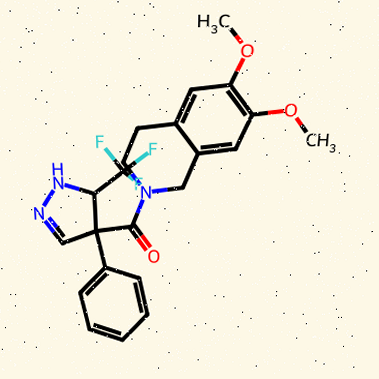 COc1cc2c(cc1OC)CN(C(=O)C1(c3ccccc3)C=NNC1C(F)(F)F)CC2